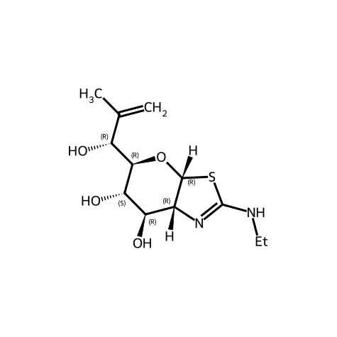 C=C(C)[C@@H](O)[C@H]1O[C@@H]2SC(NCC)=N[C@@H]2[C@@H](O)[C@@H]1O